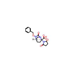 O=C1N(OCc2ccccc2)[C@@H]2CC[C@](C(=O)O)(N3C(=O)CCC3=O)N1C2